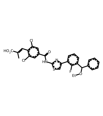 CCOC(c1ccccc1)c1cccc(-c2csc(NC(=O)c3cc(Cl)c(C=C(C)C(=O)O)c(Cl)c3)n2)c1F